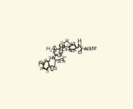 CNC(=O)Nc1ccc2c(c1)CC[C@]2(C=O)OC(=O)N(C)CC(=O)N1Cc2cc(F)ccc2OC[C@@H]1C1CC1